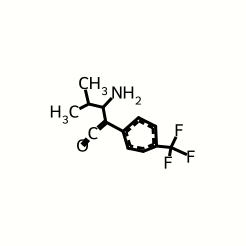 CC(C)C(N)C(=C=O)c1ccc(C(F)(F)F)cc1